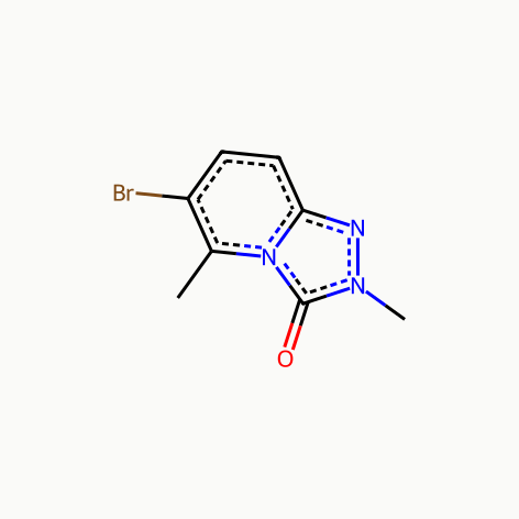 Cc1c(Br)ccc2nn(C)c(=O)n12